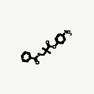 CC(C)(CSC(=O)c1ccccc1)C(=O)Oc1ccc([N+](=O)[O-])cc1